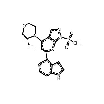 C[C@@H]1COCCN1c1cc(-c2cccc3[nH]ccc23)nc2c1cnn2S(C)(=O)=O